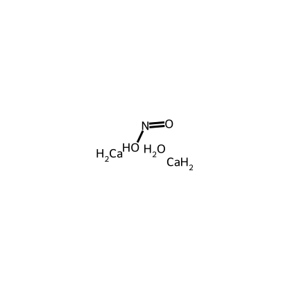 O.O=NO.[CaH2].[CaH2]